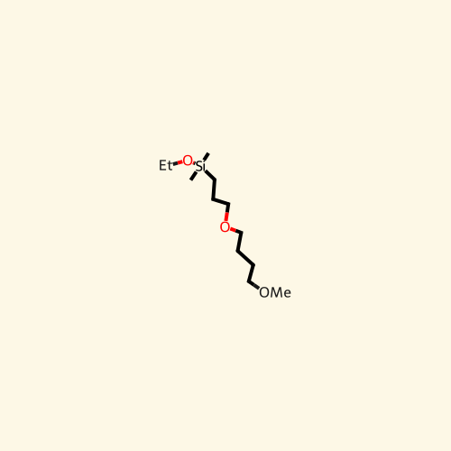 CCO[Si](C)(C)CCCOCCCCOC